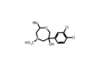 CC(C)(C)C1CN(C(=O)O)CC(O)(c2ccc(Cl)c(Cl)c2)CO1